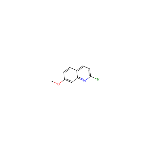 COc1ccc2ccc(Br)nc2c1